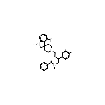 CC(=O)N1CC2(CCN(CCC(CN(C)C(=O)c3ccccc3)c3ccc(Cl)c(Cl)c3)CC2)c2c(F)cccc21